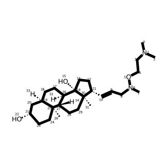 CN(C)CCON(C)C/C=C/[C@H]1CC[C@]2(O)[C@@H]3CC[C@@H]4C[C@@H](O)CC[C@]4(C)[C@H]3CC[C@]12C